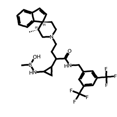 CB(O)NC1CC1C(CCN1CC[C@@]2(C=Cc3ccccc32)[C@@H](C)C1)C(=O)NCc1cc(C(F)(F)F)cc(C(F)(F)F)c1